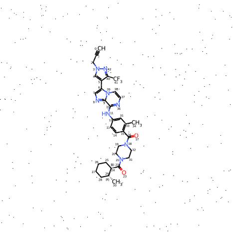 C#CCn1cc(-c2cnc3c(Nc4ccc(C(=O)N5CCN(C(=O)[C@@H]6CCCC[C@H]6C)CC5)c(C)c4)nccn23)c(C(F)(F)F)n1